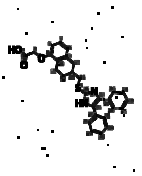 O=C(O)COc1cccc2c1CCC(CSc1nc(-c3ccccc3)c(-c3ccccc3)[nH]1)C2